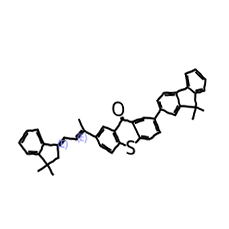 C/C(=C\C=C1/CC(C)(C)c2ccccc21)c1ccc2sc3ccc(-c4ccc5c(c4)C(C)(C)c4ccccc4-5)cc3c(=O)c2c1